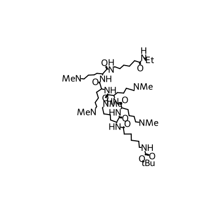 CCNC(=O)CCCCCNC(=O)C(CCCCNC)NC(=O)C(CCCCNC)NC(=O)C(CCCCNC)NC(=O)C(CCCCNC)NC(=O)C(CCCCNC)NC(=O)CCCCCNC(=O)OC(C)(C)C